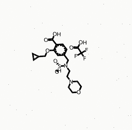 O=C(O)C(F)(F)F.O=C(O)c1ccc(CN(CCN2CCOCC2)[SH](=O)=O)cc1OCC1CC1